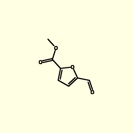 COC(=O)c1ccc(C=O)o1